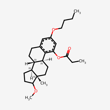 CCCCOc1cc2c(c(OC(=O)CC)c1)[C@H]1CC[C@]3(C)C(OC)CC[C@H]3[C@@H]1CC2